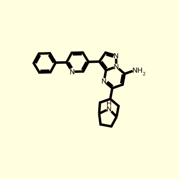 Nc1cc(C2CC3CCC(C2)N3)nc2c(-c3ccc(-c4ccccc4)nc3)cnn12